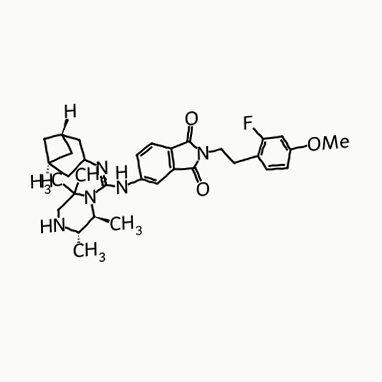 COc1ccc(CCN2C(=O)c3ccc(NC(=NC4C[C@H]5C[C@H](C4)C5)N4[C@@H](C)[C@H](C)NCC4(C)C)cc3C2=O)c(F)c1